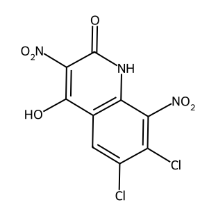 O=c1[nH]c2c([N+](=O)[O-])c(Cl)c(Cl)cc2c(O)c1[N+](=O)[O-]